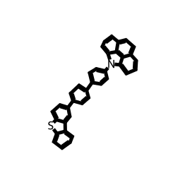 c1ccc2c(c1)sc1ccc(-c3ccc(-c4ccc(-n5c6cccc7ccc8cccc5c8c76)cc4)cc3)cc12